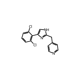 Clc1cccc(Cl)c1-c1c[nH]c(Cc2ccncc2)n1